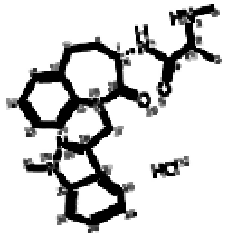 CN[C@@H](C)C(=O)N[C@H]1CCc2ccccc2N(Cc2nn(C)c3ccccc23)C1=O.Cl